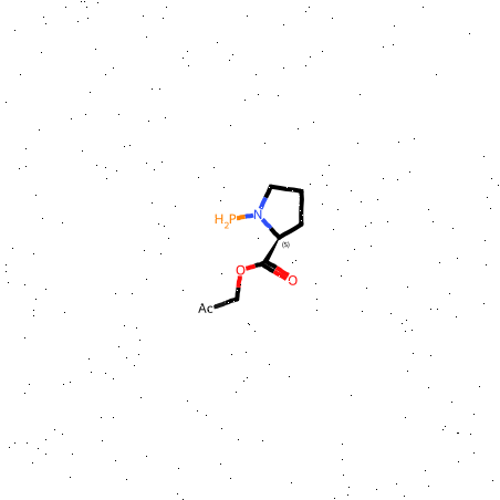 CC(=O)COC(=O)[C@@H]1CCCN1P